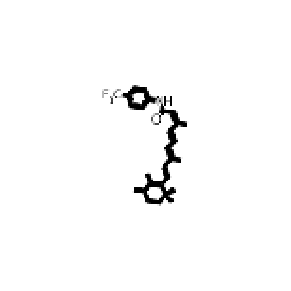 CC1=C(/C=C/C(C)=C/C=C/C(C)=C\C(=O)Nc2ccc(C(F)(F)F)cc2)C(C)(C)CCC1C